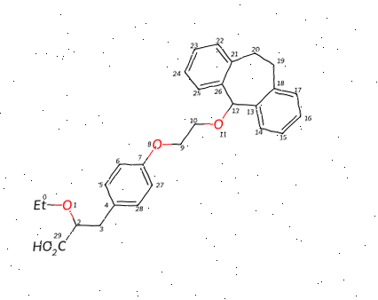 CCOC(Cc1ccc(OCCOC2c3ccccc3CCc3ccccc32)cc1)C(=O)O